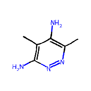 Cc1nnc(N)c(C)c1N